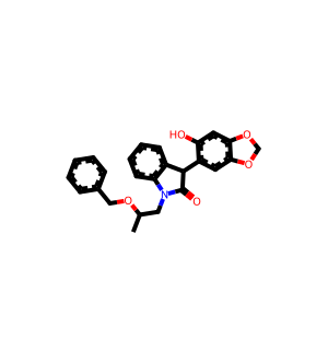 CC(CN1C(=O)C(c2cc3c(cc2O)OCO3)c2ccccc21)OCc1ccccc1